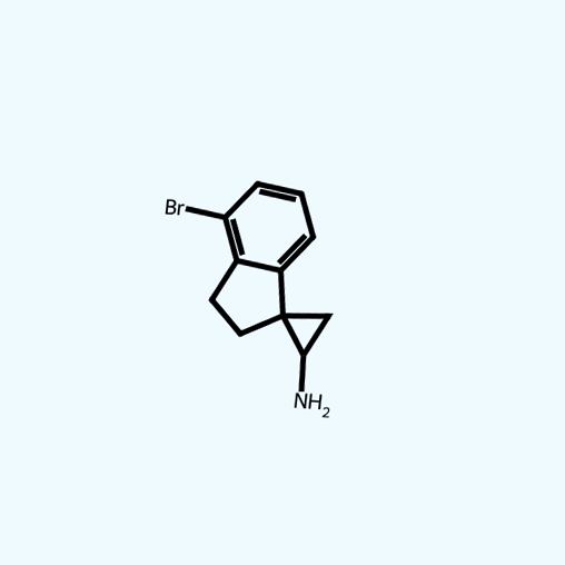 NC1CC12CCc1c(Br)cccc12